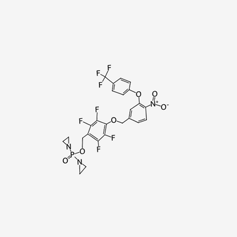 O=[N+]([O-])c1ccc(COc2c(F)c(F)c(COP(=O)(N3CC3)N3CC3)c(F)c2F)cc1Oc1ccc(C(F)(F)F)cc1